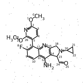 COc1ccc(-c2c(F)ccc3c(N)c4c(nc23)CN(C2CC2)C4C=O)c(OC)n1